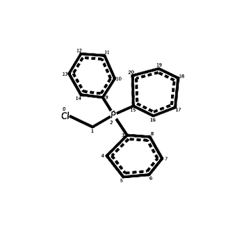 ClC[P](c1ccccc1)(c1ccccc1)c1ccccc1